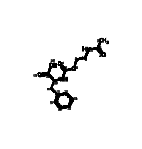 CC(=O)NCCOC(=O)N[C@@H](Cc1ccccc1)C(=O)O